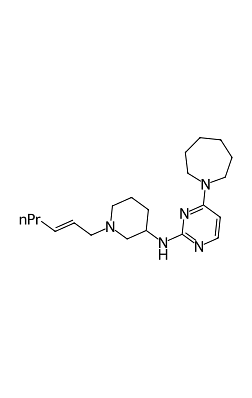 CCC/C=C/CN1CCCC(Nc2nccc(N3CCCCCC3)n2)C1